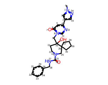 Cn1cc(-c2cc(=O)n(CC3(O)CCN(C(=O)NCc4ccccc4)CC34CCCC4)cn2)cn1